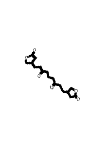 O=C(CCCC(=O)CCC1COC(=O)C1)CCC1COC(=O)C1